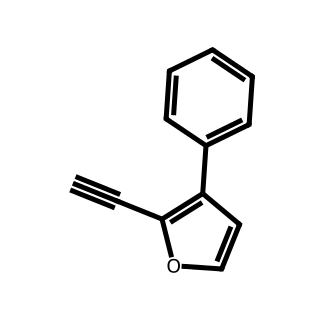 C#Cc1occc1-c1ccccc1